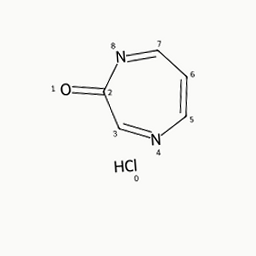 Cl.O=c1cncccn1